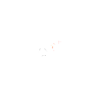 CCCCCCCCc1cccc(OP(O)(=S)S)c1CCCCCCCC